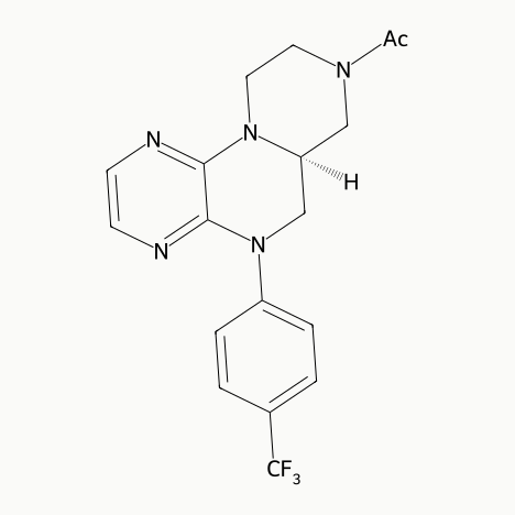 CC(=O)N1CCN2c3nccnc3N(c3ccc(C(F)(F)F)cc3)C[C@@H]2C1